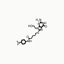 CN(C)c1ccc(NC(=O)CCCCSc2nc3c(=O)[nH]c(N)nc3n2CCO)cc1